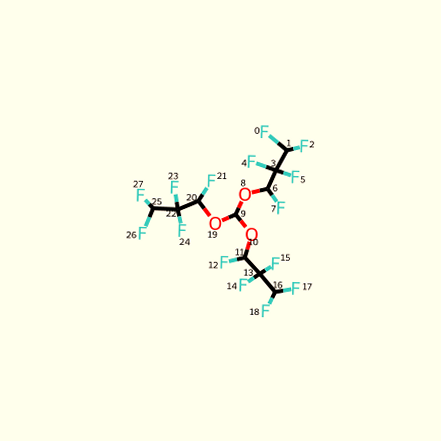 FC(F)C(F)(F)C(F)OC(OC(F)C(F)(F)C(F)F)OC(F)C(F)(F)C(F)F